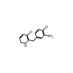 Pc1cc(CC2=C(Cl)C=CCN2)ccc1Cl